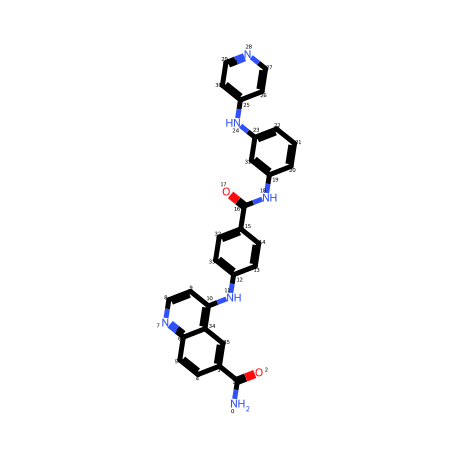 NC(=O)c1ccc2nccc(Nc3ccc(C(=O)Nc4cccc(Nc5ccncc5)c4)cc3)c2c1